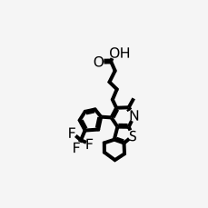 Cc1nc2sc3c(c2c(-c2cccc(C(F)(F)F)c2)c1CCCCC(=O)O)CCCC3